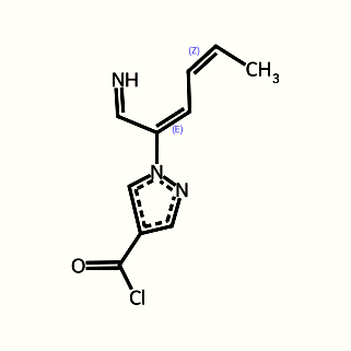 C/C=C\C=C(/C=N)n1cc(C(=O)Cl)cn1